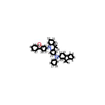 CC1(C)c2ccccc2-c2ccc(N(c3ccccc3)c3ccc4c(c3)C(C)(C)c3ccccc3N4c3ccc4c(c3)oc3ccccc34)cc21